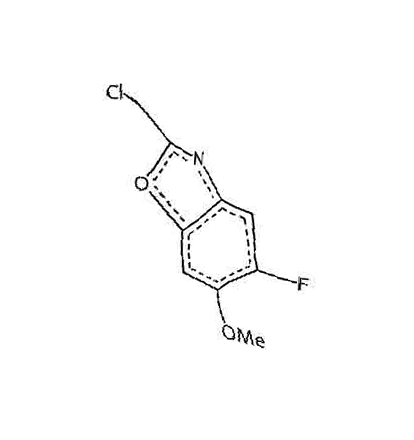 COc1cc2oc(Cl)nc2cc1F